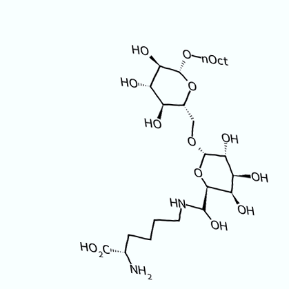 CCCCCCCCO[C@@H]1O[C@H](CO[C@H]2O[C@H](C(O)NCCCC[C@H](N)C(=O)O)[C@H](O)[C@H](O)[C@H]2O)[C@@H](O)[C@H](O)[C@H]1O